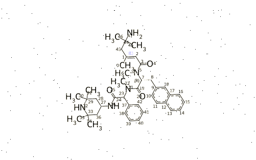 C/C(=C\C(=O)N(C)[C@H](Cc1ccc2ccccc2c1)C(=O)N(C)C(C(=O)NC1CC(C)(C)NC(C)(C)C1)c1ccccc1)CC(C)(C)N